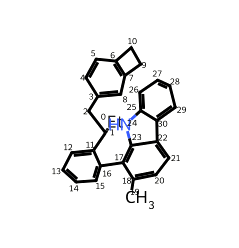 CCC(Cc1ccc2c(c1)CC2)c1ccccc1-c1c(C)ccc2c1[nH]c1ccccc12